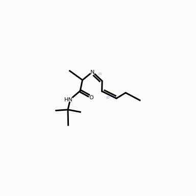 CC/C=C\C=N/C(C)C(=O)NC(C)(C)C